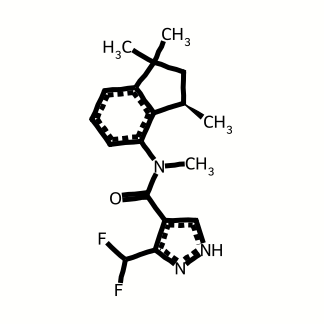 C[C@@H]1CC(C)(C)c2cccc(N(C)C(=O)c3c[nH]nc3C(F)F)c21